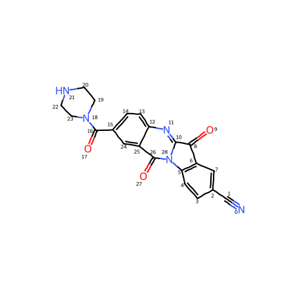 N#Cc1ccc2c(c1)C(=O)c1nc3ccc(C(=O)N4CCNCC4)cc3c(=O)n1-2